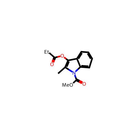 CCC(=O)Oc1c(C)n(C(=O)OC)c2ccccc12